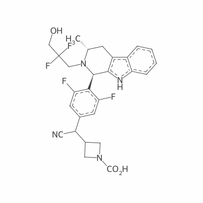 C[C@@H]1Cc2c([nH]c3ccccc23)[C@@H](c2c(F)cc(C(C#N)C3CN(C(=O)O)C3)cc2F)N1CC(F)(F)CO